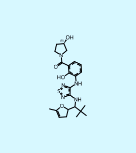 CC1=CCC(C(Nc2nsnc2Nc2cccc(C(=O)N3CC[C@@H](O)C3)c2O)C(C)(C)C)O1